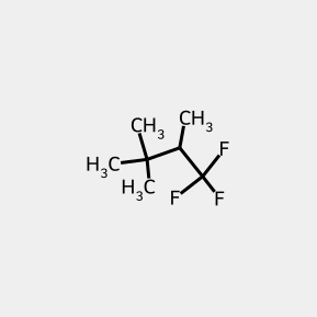 CC(C(C)(C)C)C(F)(F)F